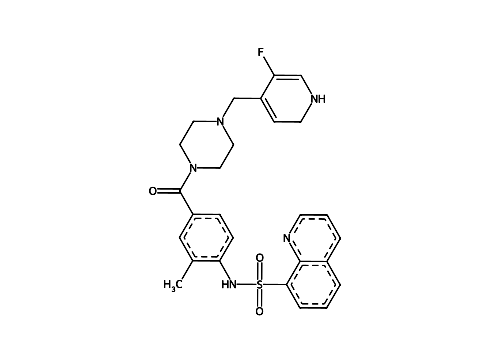 Cc1cc(C(=O)N2CCN(CC3=CCNC=C3F)CC2)ccc1NS(=O)(=O)c1cccc2cccnc12